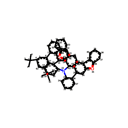 CC(C)(C)c1cc(-c2cccc3cccc(-c4ccccc4N(c4ccccc4-c4ccc5c(c4)oc4ccccc45)c4cccc5c4oc4ccccc45)c23)cc(C(C)(C)C)c1